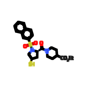 CCOC(=O)C1CCN(C(=O)[C@@H]2C[C@@H](S)CN2S(=O)(=O)c2ccc3ccccc3c2)CC1